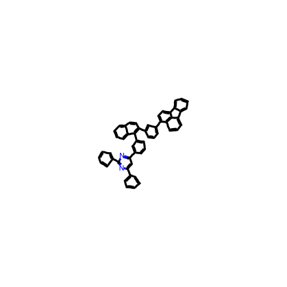 c1ccc(-c2cc(-c3cccc(-c4c(-c5cccc(-c6ccc7c8c(cccc68)-c6ccccc6-7)c5)ccc5ccccc45)c3)nc(-c3ccccc3)n2)cc1